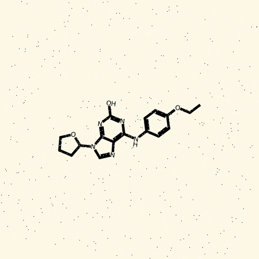 CCOc1ccc(Nc2nc(O)nc3c2ncn3C2CCCO2)cc1